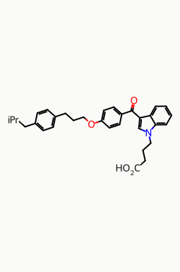 CC(C)Cc1ccc(CCCOc2ccc(C(=O)c3cn(CCCC(=O)O)c4ccccc34)cc2)cc1